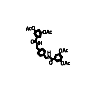 CC(=O)Oc1cc(OC(C)=O)cc(C(=O)NCc2ccc(CNC(=O)c3cc(OC(C)=O)cc(OC(C)=O)c3)cc2)c1